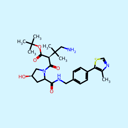 Cc1ncsc1-c1ccc(CNC(=O)C2C[C@@H](O)CN2C(=O)[C@@H](C(=O)OC(C)(C)C)C(C)(C)CN)cc1